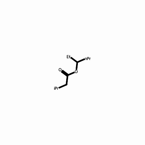 CCCC(CC)OC(=O)CC(C)C